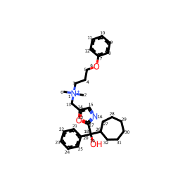 C[N+](C)(CCCOc1ccccc1)Cc1cnc(C(O)(c2ccccc2)C2CCCCCC2)o1